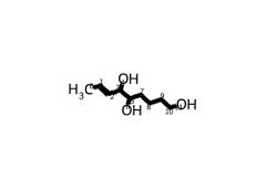 CC=CC(O)C(O)CCCCO